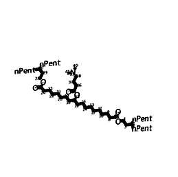 CCCCCC(CCCCC)CCOC(=O)CCCCCCCCCC(CCCCCCCC(=O)OCCC(CCCCC)CCCCC)OC(=O)CCCN(C)C